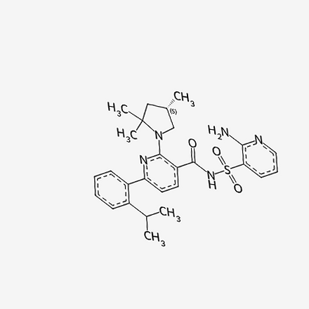 CC(C)c1ccccc1-c1ccc(C(=O)NS(=O)(=O)c2cccnc2N)c(N2C[C@@H](C)CC2(C)C)n1